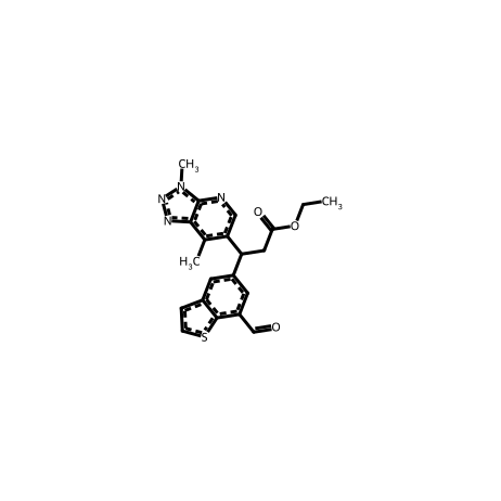 CCOC(=O)CC(c1cc(C=O)c2sccc2c1)c1cnc2c(nnn2C)c1C